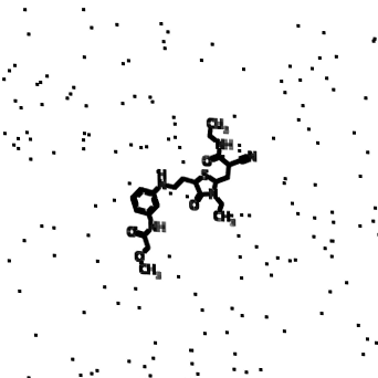 CCNC(=O)C(C#N)CC1SC(CCNc2cccc(NC(=O)COC)c2)C(=O)N1CC